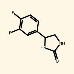 O=C1NCC(c2ccc(F)c(F)c2)N1